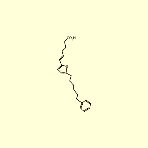 O=C(O)CCCC=Cc1ccc(CCCCCCc2ccccc2)s1